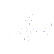 CN(C)C1CN(c2nc3nc([C@H](Cc4cc(F)cc(F)c4)NC(=O)Cn4nc(C(F)(F)F)c5c4C(F)(F)[C@@H]4C#C[C@H]54)c(-c4cccc5c(NS(C)(=O)=O)nn(C)c45)cc3s2)C1